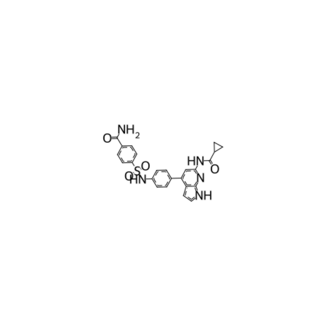 NC(=O)c1ccc(S(=O)(=O)Nc2ccc(-c3cc(NC(=O)C4CC4)nc4[nH]ccc34)cc2)cc1